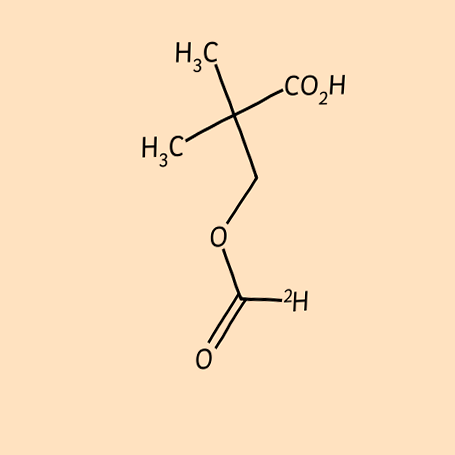 [2H]C(=O)OCC(C)(C)C(=O)O